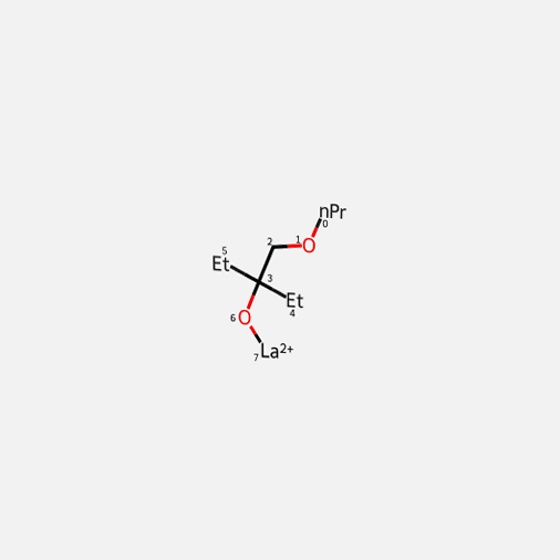 CCCOCC(CC)(CC)[O][La+2]